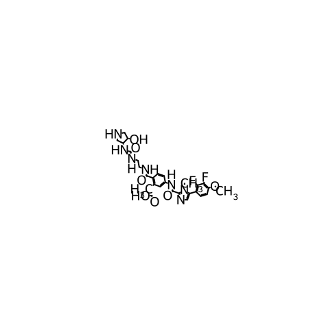 COc1ccc(-c2cnc(C(=O)Nc3ccc(C(=O)NCCNC(=O)N[C@@H]4CNC[C@H]4O)c(C)c3)n2C)c(F)c1F.O=CO